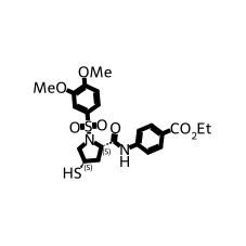 CCOC(=O)c1ccc(NC(=O)[C@@H]2C[C@H](S)CN2S(=O)(=O)c2ccc(OC)c(OC)c2)cc1